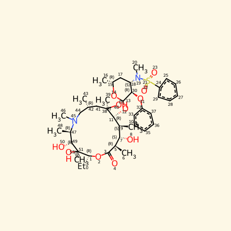 CC[C@H]1OC(=O)[C@H](C)[C@@H](O)[C@H](C)[C@@H](O[C@@H]2O[C@H](C)C[C@H](N(C)S(=O)(=O)c3ccccc3)[C@H]2Oc2ccccc2)[C@](C)(O)C[C@@H](C)CN(C)[C@H](C)[C@@H](O)[C@]1(C)O